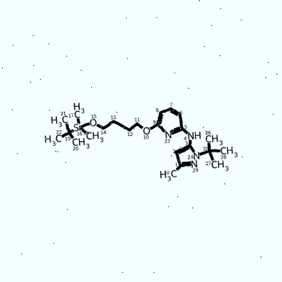 Cc1cc(Nc2cccc(OCCCCO[Si](C)(C)C(C)(C)C)n2)n(C(C)(C)C)n1